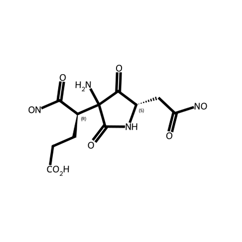 NC1([C@@H](CCC(=O)O)C(=O)N=O)C(=O)N[C@@H](CC(=O)N=O)C1=O